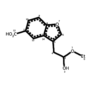 CCOC(O)Cc1coc2ccc(C(=O)O)cc12